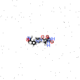 Cc1noc(C)c1-c1cccc(N2CCN(C(=O)CCC3(C4CC4)NC(=O)NC3=O)C[C@@H]2C)c1